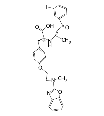 CC(=CC(=O)c1cccc(I)c1)N[C@@H](Cc1ccc(OCCN(C)c2nc3ccccc3o2)cc1)C(=O)O